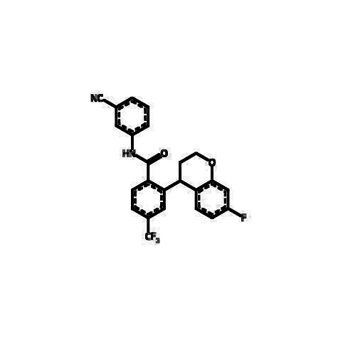 N#Cc1cccc(NC(=O)c2ccc(C(F)(F)F)cc2C2CCOc3cc(F)ccc32)c1